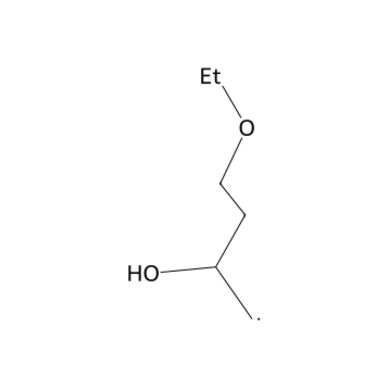 [CH2]C(O)CCOCC